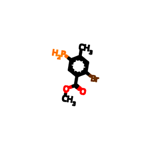 COC(=O)c1cc(P)c(C)cc1Br